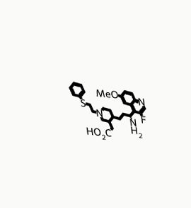 COc1ccc2ncc(F)c([C@H](N)CCC3CCN(CCSc4ccccc4)CC3CC(=O)O)c2c1